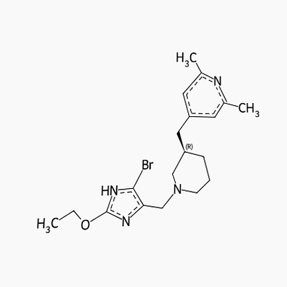 CCOc1nc(CN2CCC[C@H](Cc3cc(C)nc(C)c3)C2)c(Br)[nH]1